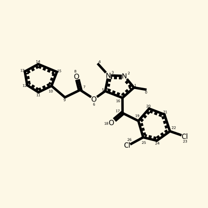 Cc1nn(C)c(OC(=O)Cc2ccccc2)c1C(=O)c1ccc(Cl)cc1Cl